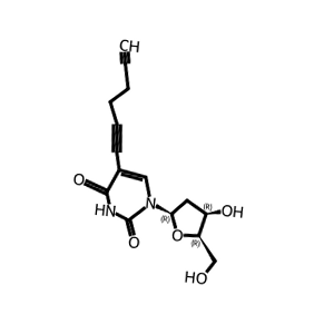 C#CCCC#Cc1cn([C@H]2C[C@@H](O)[C@@H](CO)O2)c(=O)[nH]c1=O